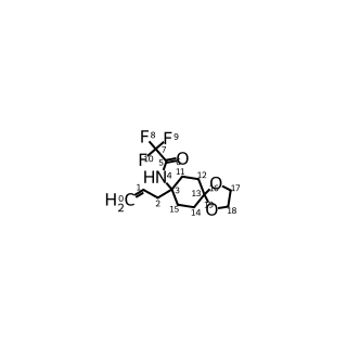 C=CCC1(NC(=O)C(F)(F)F)CCC2(CC1)OCCO2